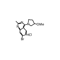 COC1CCN(c2nc(C)nc3cc(Br)ccc23)C1.Cl